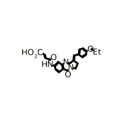 CCOc1ccc(/C=C2\CCn3c2nc2cc(NC(=O)/C=C/C(=O)O)ccc2c3=O)cc1